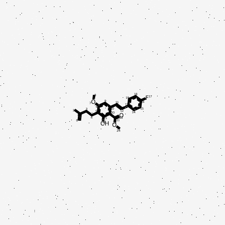 C=C(C)CCc1c(OC)cc(C=Cc2ccc(F)cc2)c(C(=O)OC)c1O